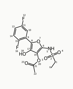 CCS(=O)(=O)Nc1oc(-c2cc(F)ccc2F)c(O)c1OC(C)=O